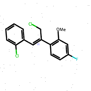 COc1cc(F)ccc1/C(=C/c1ccccc1Cl)CCl